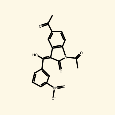 CC(=O)c1ccc2c(c1)C(=C(O)c1cccc([N+](=O)[O-])c1)C(=O)N2C(C)=O